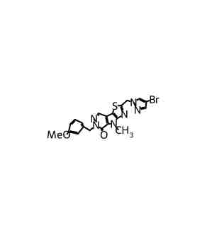 COc1cccc(Cn2ncc3c4sc(Cn5cc(Br)cn5)nc4n(C)c3c2=O)c1